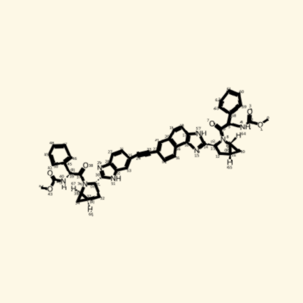 COC(=O)NC(C(=O)N1[C@@H]2C[C@@H]2C[C@H]1c1nc2c(ccc3cc(C#Cc4ccc5nc([C@@H]6C[C@H]7C[C@H]7N6C(=O)[C@H](NC(=O)OC)c6ccccc6)[nH]c5c4)ccc32)[nH]1)c1ccccc1